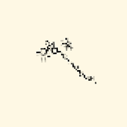 Cn1c(=O)n(C2CCC(=O)NC2=O)c2ccc(CCOCCOCCOCCOCCN)cc21.O=C(O)C(F)(F)F